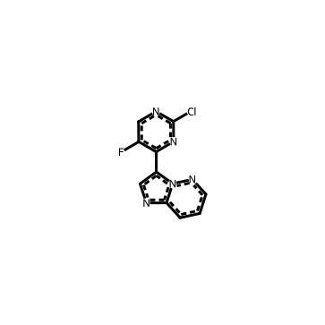 Fc1cnc(Cl)nc1-c1cnc2cccnn12